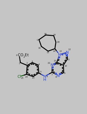 CCOC(=O)Cc1ccc(Nc2ncc3cnn(C4CCCCCC4)c3n2)cc1Cl